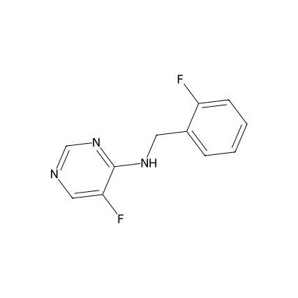 Fc1ccccc1CNc1ncncc1F